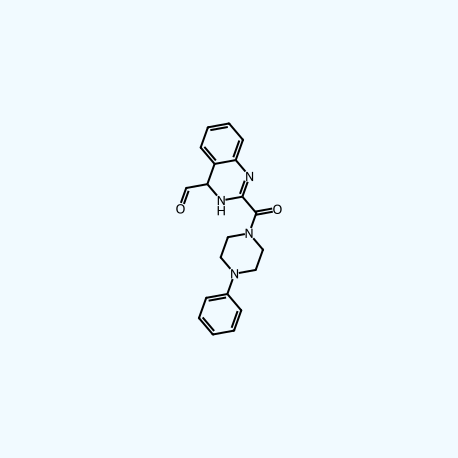 O=CC1NC(C(=O)N2CCN(c3ccccc3)CC2)=Nc2ccccc21